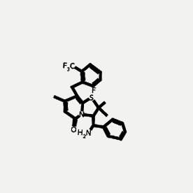 Cc1cc(=O)n2c(c1Cc1c(F)cccc1C(F)(F)F)SC(C)(C)C2C(N)c1ccccc1